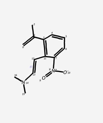 C=C(C)c1cccc([N+](=O)[O-])c1/C=C/N(C)C